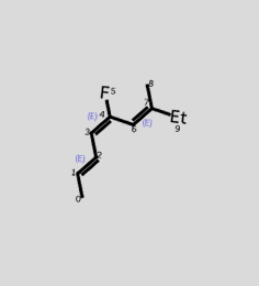 C/C=C/C=C(F)\C=C(/C)CC